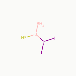 BB(S)I(I)I